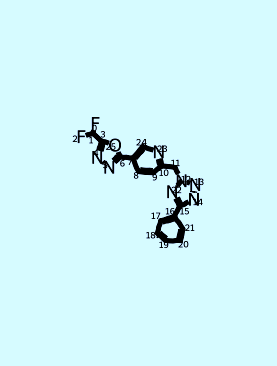 FC(F)c1nnc(-c2ccc(Cn3nnc(-c4c[c]ccc4)n3)nc2)o1